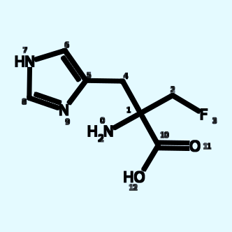 NC(CF)(Cc1c[nH]cn1)C(=O)O